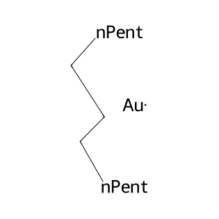 CCCCCCCCCCCCC.[Au]